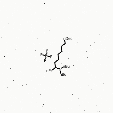 CCCCCCCCCCCCCCCCC(CCC)N(CCCC)CCCC.F[B-](F)(F)F